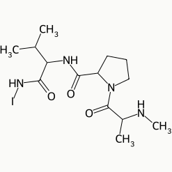 CNC(C)C(=O)N1CCCC1C(=O)NC(C(=O)NI)C(C)C